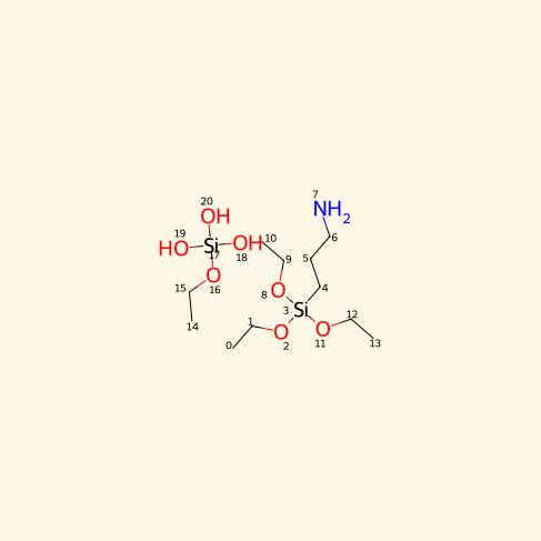 CCO[Si](CCCN)(OCC)OCC.CCO[Si](O)(O)O